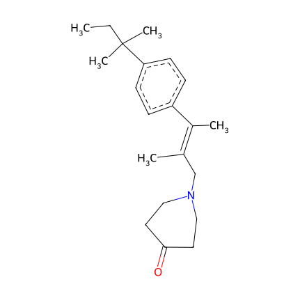 CCC(C)(C)c1ccc(/C(C)=C(\C)CN2CCC(=O)CC2)cc1